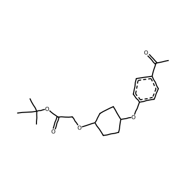 CC(=O)c1ccc(OC2CCC(OCC(=O)OC(C)(C)C)CC2)cc1